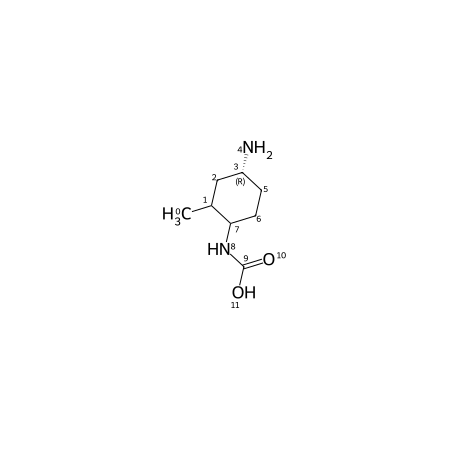 CC1C[C@H](N)CCC1NC(=O)O